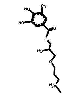 C[SiH2]CCCOCC(O)COC(=O)c1cc(O)c(O)c(O)c1